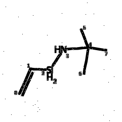 C=C[SiH2]NC(C)(C)C